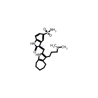 CN(C)CCCc1c(/C=C2\C(=O)Nc3ccc(S(N)(=O)=O)cc32)[nH]c2c1CCCCC2